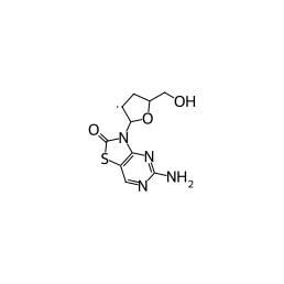 Nc1ncc2sc(=O)n(C3[CH]CC(CO)O3)c2n1